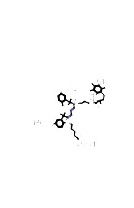 Cc1ccc(S(=O)(=O)O)cc1C(C)(C)C(/C=C/C=C1/N(CCCCCC(=O)O)c2ccc(S(=O)(=O)O)cc2C1(C)C)=N/CCCNC(=O)C1(C)CCc2c(C)c(O)c(C)c(C)c2O1